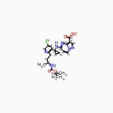 CC(CCc1ncc(F)cc1C1(Nc2ccn3ncc(C(=O)O)c3n2)CC1)NC(=O)OC(C)(C)C